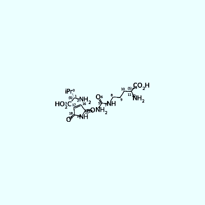 CC(C)[C@H](N)C(=O)O.NC(=O)NCCC[C@H](N)C(=O)O.O=C1C=CC(=O)N1